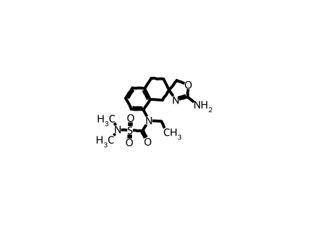 CCN(C(=O)S(=O)(=O)N(C)C)c1cccc2c1CC1(CC2)COC(N)=N1